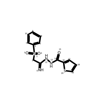 N=C(CS(=O)(=O)c1ccccc1)NNC(=O)c1cccs1